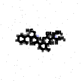 CC/C(=C/C(=N)c1ncc(F)c(NC(/C(=N/N)NN)C(C)C)n1)NCc1ccccc1F